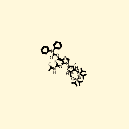 CC(=O)Nc1nc(OC(=O)N(c2ccccc2)c2ccccc2)c2ncn([C@@H]3S[C@@H]4CO[Si](C(C)C)(C(C)C)O[Si](C(C)C)(C(C)C)O[C@H]4[C@H]3C)c2n1